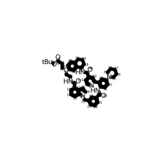 CC(C)(C)OC(=O)CCOCCNC(=O)c1cccc2c1ccn2Cc1cccc(C(=O)Nc2ccc(N3CCCCC3)cc2-c2cc(C(=O)NC3CCCc4ccccc43)ccn2)c1